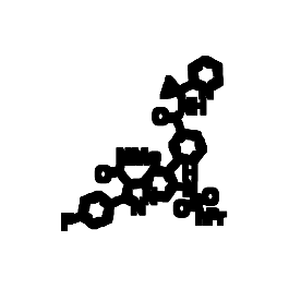 CCCS(=O)(=O)Nc1cn2nc(-c3ccc(F)cc3)c(C(=O)NC)c2cc1-c1cccc(C(=O)NC2(c3ccccn3)CC2)c1